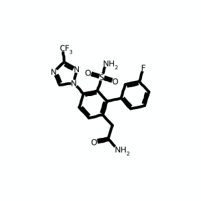 NC(=O)Cc1ccc(-n2cnc(C(F)(F)F)n2)c(S(N)(=O)=O)c1-c1cccc(F)c1